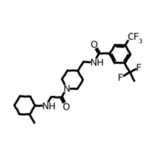 CC1CCCCC1NCC(=O)N1CCC(CNC(=O)c2cc(C(C)(F)F)cc(C(F)(F)F)c2)CC1